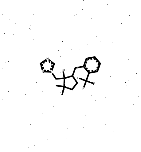 CC1(C)CCC(Cc2ccccc2C(F)(F)F)C1(O)Cn1cncn1